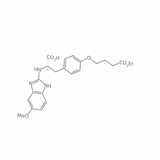 CCOC(=O)CCCOc1ccc(C[C@H](Nc2nc3cc(OC)ccc3[nH]2)C(=O)O)cc1